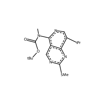 CSc1ncc2c(N(C)C(=O)OC(C)(C)C)ncc(C(C)C)c2n1